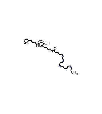 CC/C=C\C/C=C\C/C=C\C/C=C\C/C=C\CCCC(=O)NCCCC[C@H](NC(=O)CCCCC1CCSS1)C(=O)O